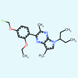 CCOc1cc(OCF)ccc1-c1nc2c(C)cn(C(CC)CC)c2nc1C